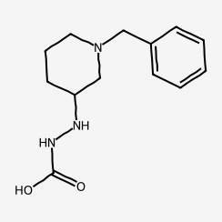 O=C(O)NNC1CCCN(Cc2ccccc2)C1